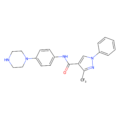 O=C(Nc1ccc(N2CCNCC2)cc1)c1cn(-c2ccccc2)nc1C(F)(F)F